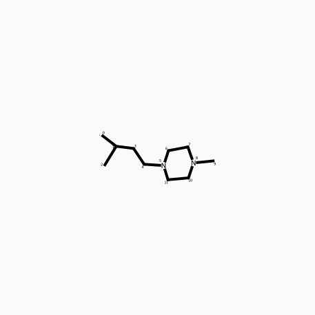 [CH2]C(C)CCN1CCN(C)CC1